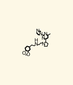 Cc1cc(C2CCCN2CCNCCc2ccc3c(c2)OCO3)nc(-n2ccnc2)n1